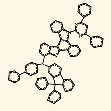 c1ccc(-c2ccc(N(c3ccc4c(c3)C(c3ccccc3)(c3ccccc3)c3ccccc3-4)c3cccc4c3sc3c5ccccc5c5c(c6ccccc6n5-c5nc(-c6ccccc6)cc(-c6ccccc6)n5)c43)cc2)cc1